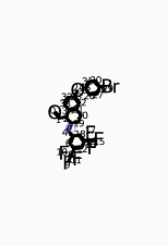 O=CC1/C(=C/c2cc(C(F)(F)F)cc(C(F)(F)F)c2)CCc2cc(Oc3ccc(Br)cc3)ccc21